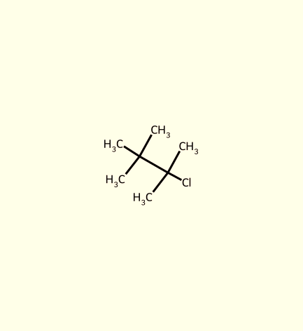 CC(C)(C)C(C)(C)Cl